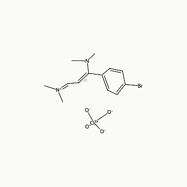 CN(C)/C(=C\C=[N+](C)C)c1ccc(Br)cc1.[O-][Cl+3]([O-])([O-])[O-]